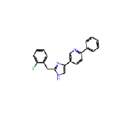 Fc1ccccc1Cc1nc(-c2ccc(-c3ccccc3)nc2)c[nH]1